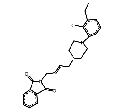 CCc1cccc(N2CCN(CC=CCN3C(=O)c4ccccc4C3=O)CC2)c1Cl